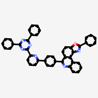 c1ccc(-c2nc(-c3ccccc3)nc(-c3cccc(-c4ccc(-c5nc6ccccc6c6c5ccc5oc(-c7ccccc7)nc56)cc4)n3)n2)cc1